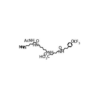 CC(=O)N[C@@H](CCCCN=[N+]=[N-])C(=O)NCCCCCC(=O)N[C@@H](CCCCNC(=O)CCCc1ccc(OC(F)(F)F)cc1)C(=O)O